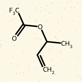 C=CC(C)OC(=O)C(F)(F)F